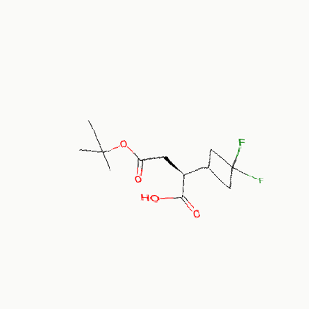 CC(C)(C)OC(=O)C[C@H](C(=O)O)C1CC(F)(F)C1